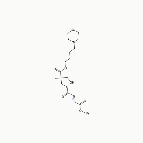 CC(C)OC(=O)/C=C/C(=O)OCC(C)(CO)C(=O)OCCCCN1CCOCC1